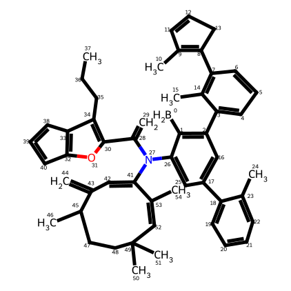 Bc1c(-c2cccc(C3=C(C)C=CC3)c2C)cc(-c2ccccc2C)cc1N(C(=C)c1oc2c(c1CCC)C=C=C2)/C1=C/C(=C)C(C)CCC(C)(C)C=C1C